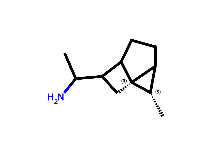 CC(N)C1C[C@]23C1CCC2[C@@H]3C